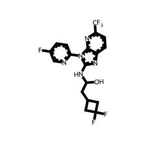 OC(CC1CC(F)(F)C1)Nc1nc2ccc(C(F)(F)F)nc2n1-c1ccc(F)cn1